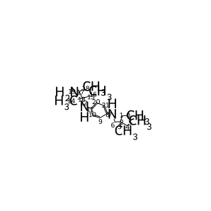 CCC(C)(CC)CNc1ccc(NC(C)(CC)C(C)N)cc1